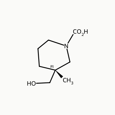 C[C@@]1(CO)CCCN(C(=O)O)C1